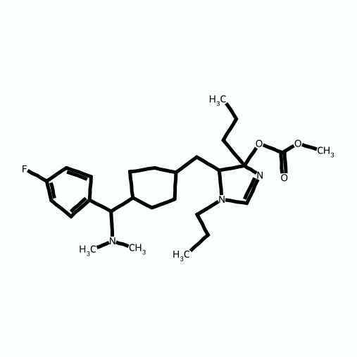 CCCN1C=NC(CCC)(OC(=O)OC)C1CC1CCC(C(c2ccc(F)cc2)N(C)C)CC1